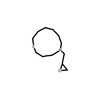 C1CCCCCN(CC2CO2)CCCC1